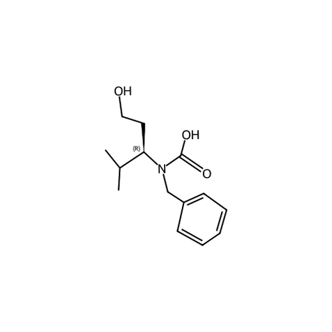 CC(C)[C@@H](CCO)N(Cc1ccccc1)C(=O)O